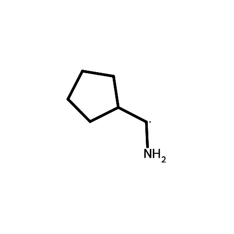 N[CH]C1CCCC1